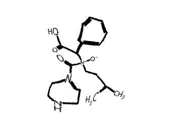 CC(C)CC[N+]([O-])(C(=O)N1CCNCC1)C(C(=O)O)c1ccccc1